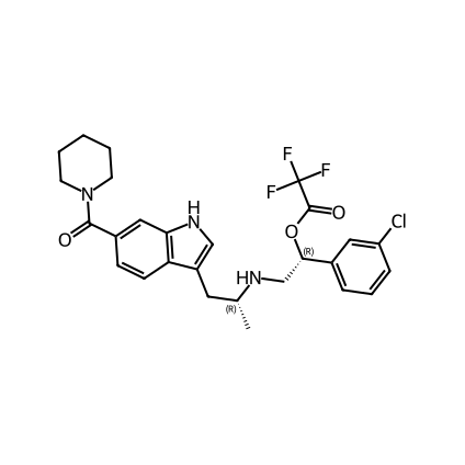 C[C@H](Cc1c[nH]c2cc(C(=O)N3CCCCC3)ccc12)NC[C@H](OC(=O)C(F)(F)F)c1cccc(Cl)c1